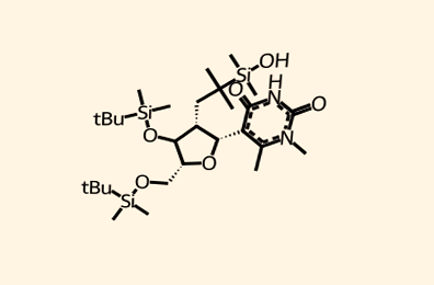 Cc1c([C@@H]2O[C@H](CO[Si](C)(C)C(C)(C)C)C(O[Si](C)(C)C(C)(C)C)[C@@H]2CC(C)(C)[Si](C)(C)O)c(=O)[nH]c(=O)n1C